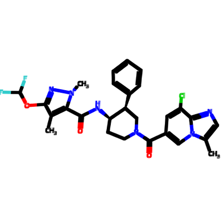 Cc1c(OC(F)F)nn(C)c1C(=O)N[C@@H]1CCN(C(=O)c2cc(Cl)c3ncc(C)n3c2)C[C@@H]1c1ccccc1